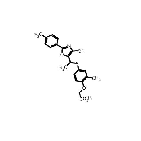 CCc1nc(-c2ccc(C(F)(F)F)cc2)oc1C(C)Sc1ccc(OCC(=O)O)c(C)c1